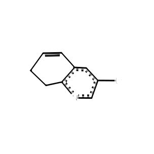 Brc1cnc2c(c1)C=CCC2